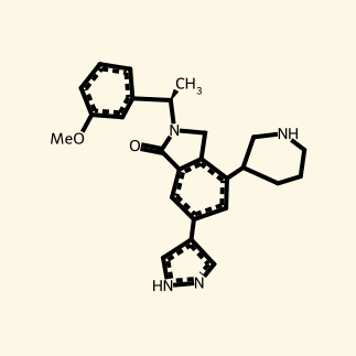 COc1cccc([C@@H](C)N2Cc3c(cc(-c4cn[nH]c4)cc3C3CCCNC3)C2=O)c1